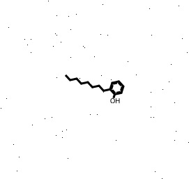 CCCCCCC[CH]c1ccccc1O